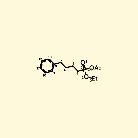 CCOP(=O)(CCCCc1ccccc1)OC(C)=O